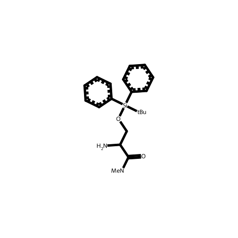 CNC(=O)C(N)CO[Si](c1ccccc1)(c1ccccc1)C(C)(C)C